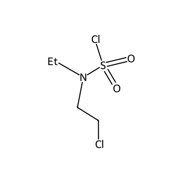 CCN(CCCl)S(=O)(=O)Cl